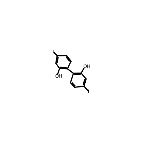 Oc1cc(I)ccc1-c1ccc(I)cc1O